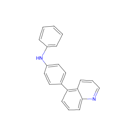 c1ccc(Nc2ccc(-c3cccc4ncccc34)cc2)cc1